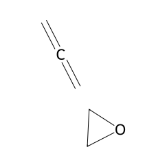 C1CO1.C=C=C